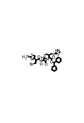 Nc1nc(C(=CBr)C(=O)NC2C(=O)N3C(C(=O)OC(c4ccccc4)c4ccccc4)=C(CSc4nncs4)CS[C@@H]23)cs1